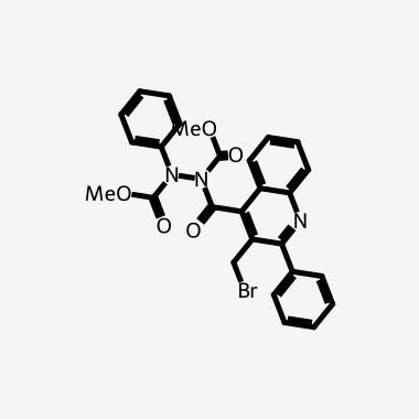 COC(=O)N(C(=O)c1c(CBr)c(-c2ccccc2)nc2ccccc12)N(C(=O)OC)c1ccccc1